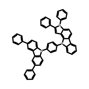 c1ccc(-c2ccc3c(c2)c2cc(-c4ccccc4)ccc2n3-c2ccc(-n3c4ccccc4c4ccc5c(cc(-c6ccccc6)n5-c5ccccc5)c43)cc2)cc1